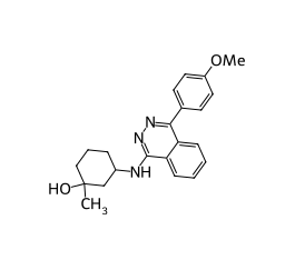 COc1ccc(-c2nnc(NC3CCCC(C)(O)C3)c3ccccc23)cc1